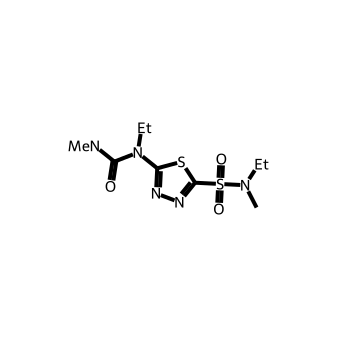 CCN(C(=O)NC)c1nnc(S(=O)(=O)N(C)CC)s1